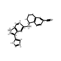 N#Cc1ccc2c(c1)CCCC2Nc1cc2c(-c3cnco3)n[nH]c2cn1